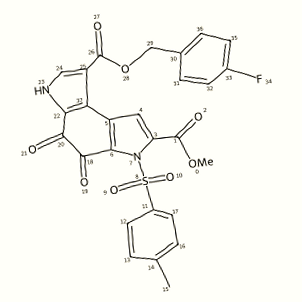 COC(=O)c1cc2c(n1S(=O)(=O)c1ccc(C)cc1)C(=O)C(=O)c1[nH]cc(C(=O)OCc3ccc(F)cc3)c1-2